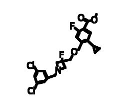 COC(=O)c1cc(C2CC2)c(COCC2(F)CN(Cc3cc(Cl)cc(Cl)c3)C2)cc1F